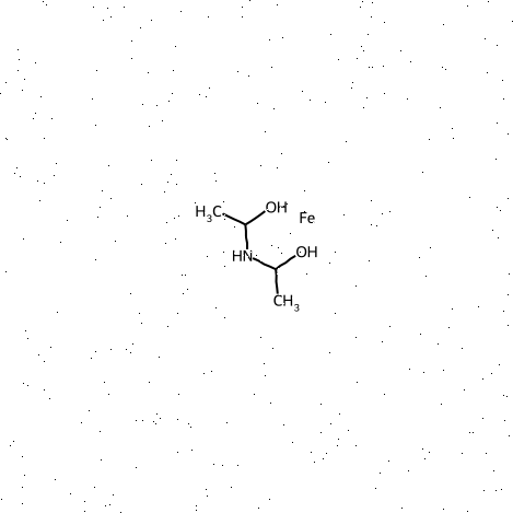 CC(O)NC(C)O.[Fe]